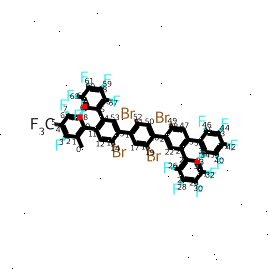 Cc1c(F)c(C(F)(F)F)c(F)c(F)c1-c1cc(Br)c(-c2cc(Br)c(-c3cc(-c4c(F)c(F)c(F)c(F)c4F)c(-c4c(F)c(F)c(F)c(F)c4F)cc3Br)cc2Br)cc1-c1c(F)c(F)c(F)c(F)c1F